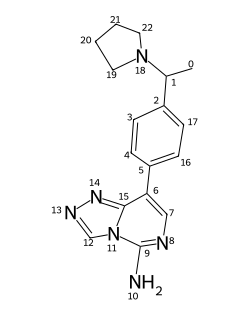 CC(c1ccc(-c2cnc(N)n3cnnc23)cc1)N1CCCC1